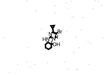 C[C@@]1(O)CCCC[C@H]1Nc1nnc(Br)c(C2CC2)n1